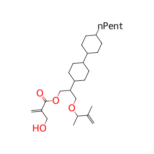 C=C(CO)C(=O)OCC(COC(C)C(=C)C)C1CCC(C2CCC(CCCCC)CC2)CC1